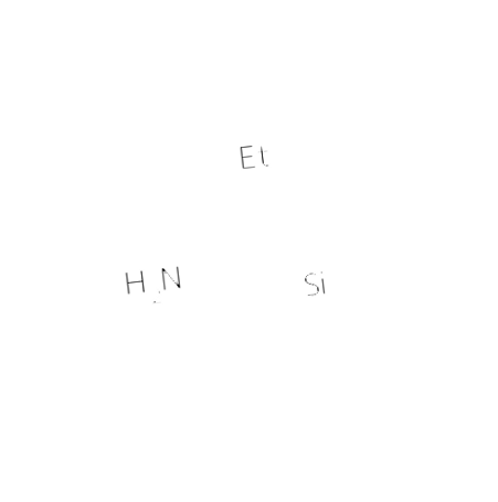 CCC(N)[Si](C)(C)C